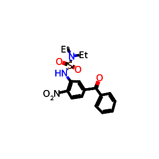 CCN(CC)S(=O)(=O)Nc1cc(C(=O)c2ccccc2)ccc1[N+](=O)[O-]